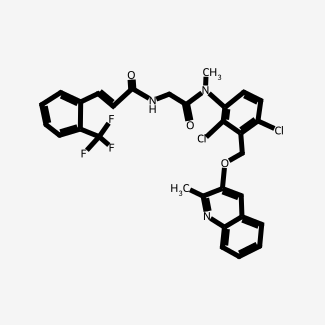 Cc1nc2ccccc2cc1OCc1c(Cl)ccc(N(C)C(=O)CNC(=O)/C=C/c2ccccc2C(F)(F)F)c1Cl